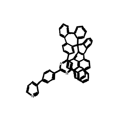 c1ccc(-c2cc(-c3ccc4c(c3)C3(c5ccccc5-c5ccccc5-4)c4ccccc4-c4c3cc3ccc5cccc6ccc4c3c56)nc(-c3ccc(-c4cccnc4)cc3)n2)cc1